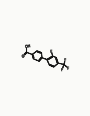 O=C(O)c1ccc(-c2ccc(C(F)(F)F)cc2F)cc1